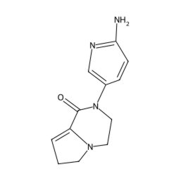 Nc1ccc(N2CCN3CCC=C3C2=O)cn1